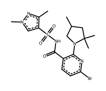 Cc1nn(C)cc1S(=O)(=O)NC(=O)c1ccc(Br)nc1N1CC(C)CC1(C)C